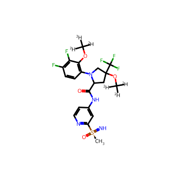 [2H]C([2H])([2H])Oc1c(N2CC(OC([2H])([2H])[2H])(C(F)(F)F)CC2C(=O)Nc2ccnc([S@](C)(=N)=O)c2)ccc(F)c1F